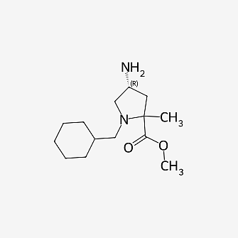 COC(=O)C1(C)C[C@@H](N)CN1CC1CCCCC1